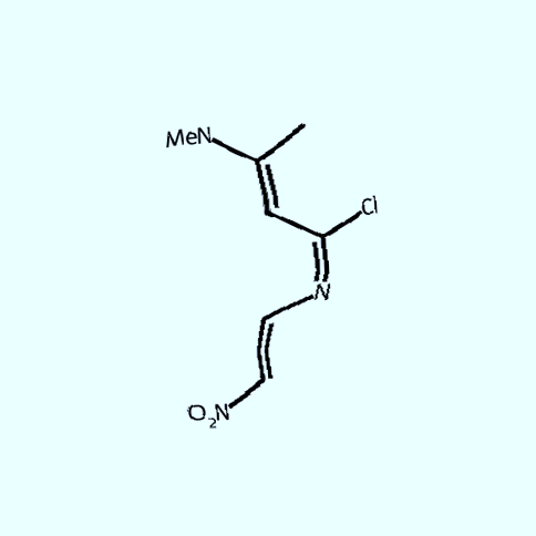 CN/C(C)=C/C(Cl)=N\C=C\[N+](=O)[O-]